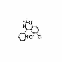 CC1(C)N=C(c2cccc[n+]2[O-])c2cc(Cl)ccc2O1